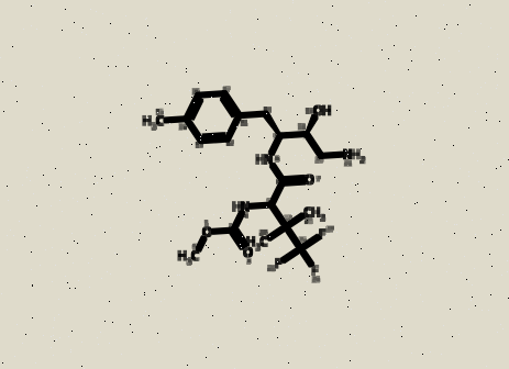 COC(=O)NC(C(=O)N[C@@H](Cc1ccc(C)cc1)[C@@H](O)CN)C(C)(C)C(F)(F)F